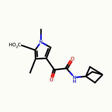 Cc1c(C(=O)C(=O)NC23CC(C2)C3)cn(C)c1C(=O)O